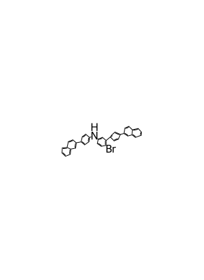 Brc1ccc(Nc2ccc(-c3ccc4ccccc4c3)cc2)cc1-c1ccc(-c2ccc3ccccc3c2)cc1